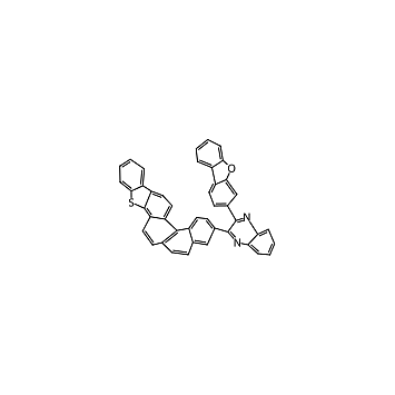 c1ccc2nc(-c3ccc4c(c3)oc3ccccc34)c(-c3ccc4c(ccc5ccc6c(ccc7c8ccccc8sc76)c54)c3)nc2c1